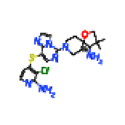 CC1(C)COC2(CCN(c3ncc(Sc4ccnc(N)c4Cl)c4nccn34)CC2)[C@@H]1N